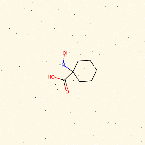 O=C(O)C1(NO)CCCCC1